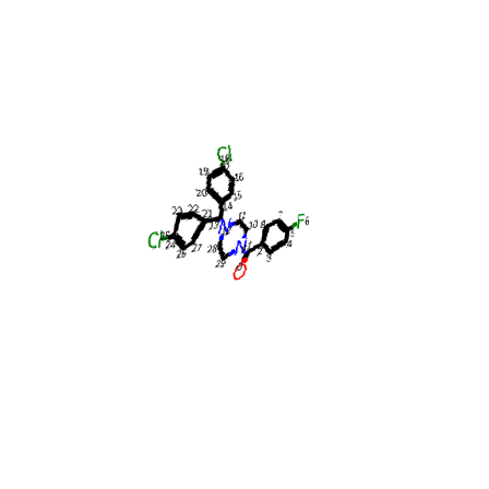 O=C(c1ccc(F)cc1)N1CCN(C(c2ccc(Cl)cc2)c2ccc(Cl)cc2)CC1